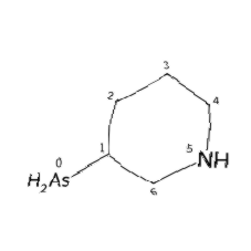 [AsH2]C1CCCNC1